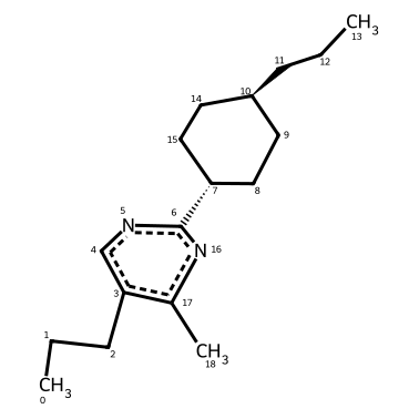 CCCc1cnc([C@H]2CC[C@H](CCC)CC2)nc1C